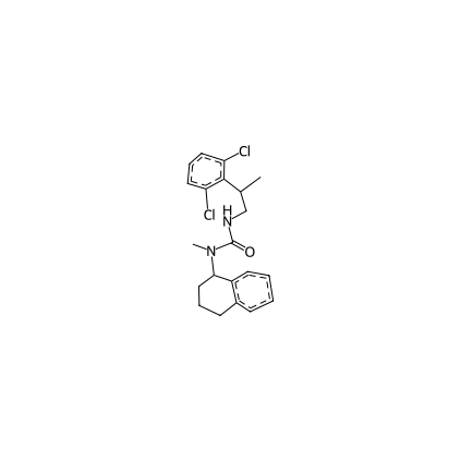 CC(CNC(=O)N(C)C1CCCc2ccccc21)c1c(Cl)cccc1Cl